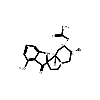 CC[C@@H]1CN2CCC3(Nc4cccc(OC)c4C3=O)[C@@H]2C[C@@H]1CC(=O)OC